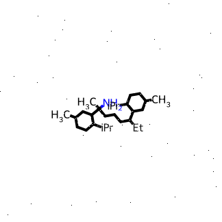 [CH2]CC(CCCC(C)(N)C1CC(C)CCC1C(C)C)C1CC(C)CCC1C(C)C